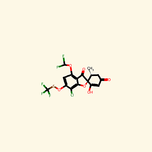 C[C@@H]1CC(=O)C=C(O)[C@@]12Oc1c(Cl)c(OSC(F)(F)F)cc(OC(F)F)c1C2=O